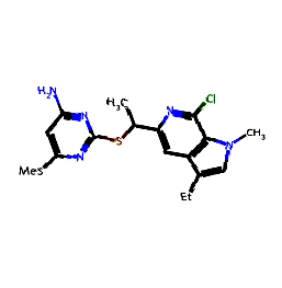 CCc1cn(C)c2c(Cl)nc(C(C)Sc3nc(N)cc(SC)n3)cc12